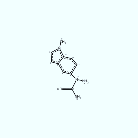 Cn1ccc2cc(N(N)C(N)=O)ccc21